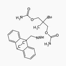 CCC(C)C(C)(COC(N)=O)COC(N)=O.CNCC12CCC(c3ccccc31)c1ccccc12